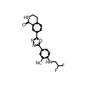 N#Cc1cc(-c2nnc(-c3ccc4c(c3)C(=O)NCC4)o2)ccc1NCC(F)F